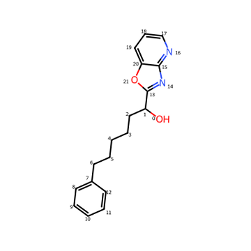 OC(CCCCCc1ccccc1)c1nc2ncccc2o1